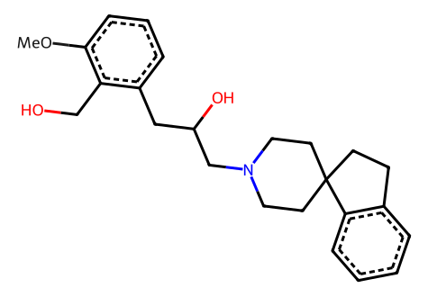 COc1cccc(CC(O)CN2CCC3(CCc4ccccc43)CC2)c1CO